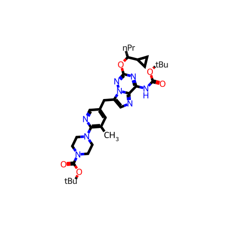 CCCC(Oc1nc(NC(=O)OC(C)(C)C)c2ncc(Cc3cnc(N4CCN(C(=O)OC(C)(C)C)CC4)c(C)c3)n2n1)C1CC1